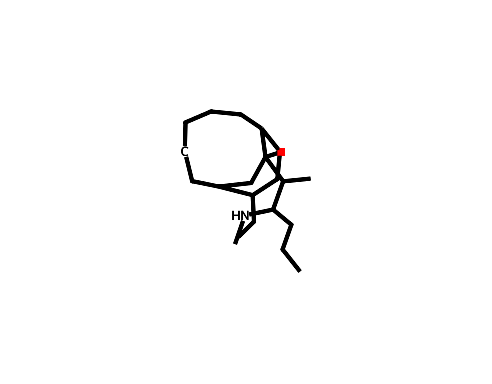 CCCC(NC)C(C)C1(C)CC2CCCCCC1CCC2CC